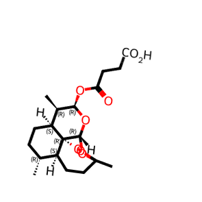 C[C@H]1[C@@H](OC(=O)CCC(=O)O)O[C@@H]2OC3(C)CC[C@H]4[C@H](C)CC[C@@H]1[C@@]24OO3